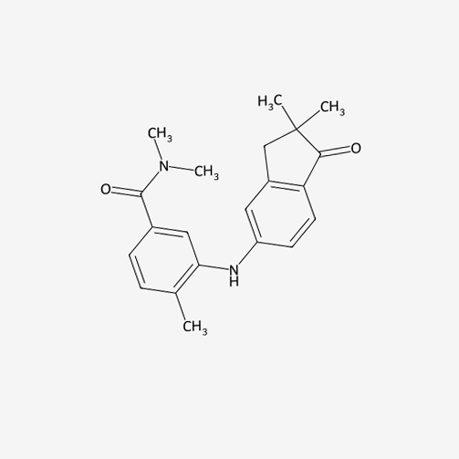 Cc1ccc(C(=O)N(C)C)cc1Nc1ccc2c(c1)CC(C)(C)C2=O